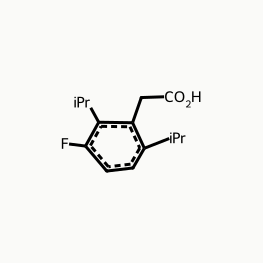 CC(C)c1ccc(F)c(C(C)C)c1CC(=O)O